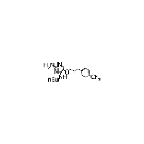 CCCCNc1nc(N)ncc1OCCCc1ccc(C(F)(F)F)cc1